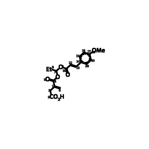 C=C(CC(=O)O)C(=O)OC(CC)OC(=O)/C=C/c1ccc(OC)cc1